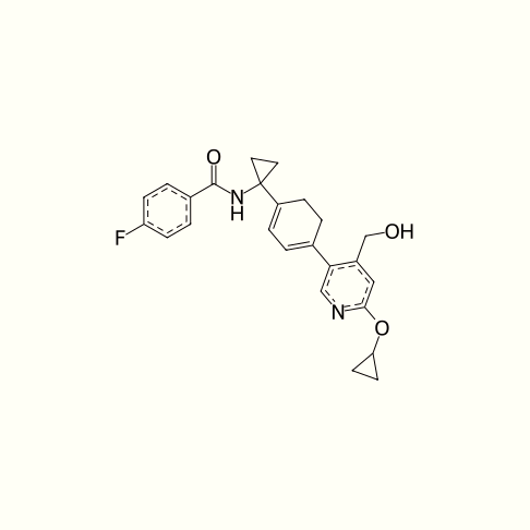 O=C(NC1(C2=CC=C(c3cnc(OC4CC4)cc3CO)CC2)CC1)c1ccc(F)cc1